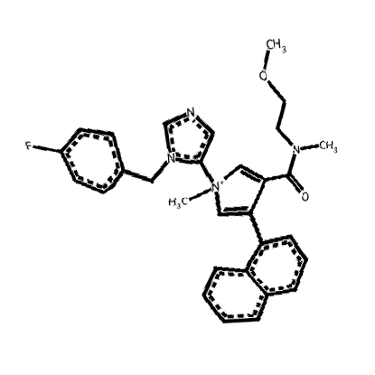 COCCN(C)C(=O)C1=C[N+](C)(c2cncn2Cc2ccc(F)cc2)C=C1c1cccc2ccccc12